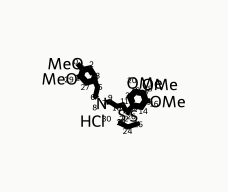 COc1ccc(CCN(C)CCCC2(c3cc(OC)c(OC)c(OC)c3)SCCCS2)cc1OC.Cl